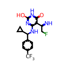 N=C(CF)c1c(NC(c2ccc(C(F)(F)F)cc2)C2CC2)nc(O)[nH]c1=O